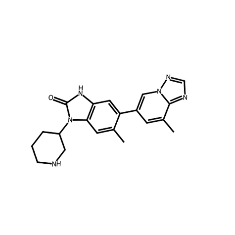 Cc1cc2c(cc1-c1cc(C)c3ncnn3c1)[nH]c(=O)n2C1CCCNC1